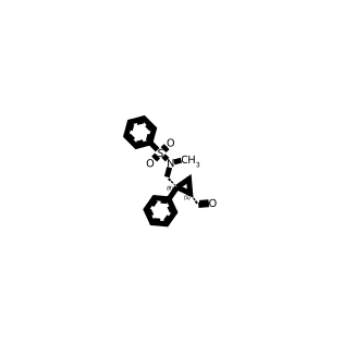 CN(C[C@]1(c2ccccc2)C[C@@H]1C=O)S(=O)(=O)c1ccccc1